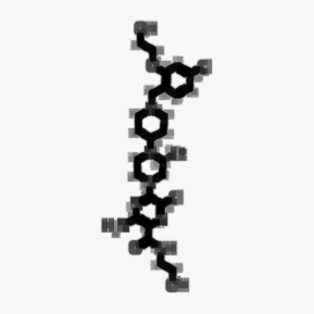 CC[C@H]1CN(c2nc(N)c(C(=O)NCCO)nc2Cl)CCN1C1CCN(Cc2ccc(Cl)cc2OCCO)CC1